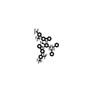 N#Cc1c(-n2c3ccccc3c3cc(-c4ccc(C(F)(F)F)cc4C(F)(F)F)ccc32)cc(-c2nc(-c3ccccc3)nc(-c3ccccc3)n2)cc1-n1c2ccccc2c2cc(-c3ccc(C(F)(F)F)cc3C(F)(F)F)ccc21